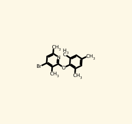 Cc1cc(C)c(Oc2nc(C)cc(Br)c2C)c(C)c1